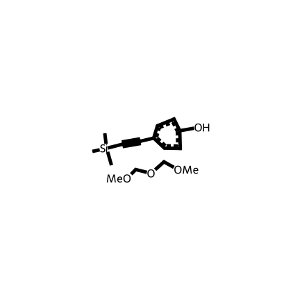 COCOCOC.C[Si](C)(C)C#Cc1ccc(O)cc1